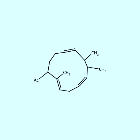 CC(=O)C1CC/C=C\C(C)C(C)/C=C\C/C=C/1C